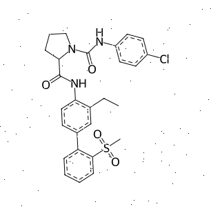 CCc1cc(-c2ccccc2S(C)(=O)=O)ccc1NC(=O)C1CCCN1C(=O)Nc1ccc(Cl)cc1